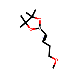 COCC/C=C/B1OC(C)(C)C(C)(C)O1